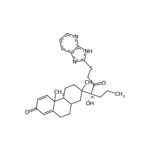 CCC[C@](O)(C(=O)CSc1nc2cccnc2[nH]1)C1(C)CCC2C(CCC3=CC(=O)C=CC32C)C1